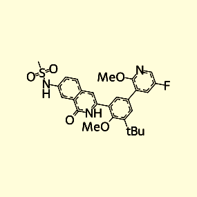 COc1ncc(F)cc1-c1cc(-c2cc3ccc(NS(C)(=O)=O)cc3c(=O)[nH]2)c(OC)c(C(C)(C)C)c1